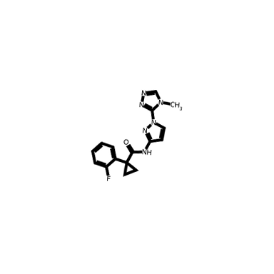 Cn1cnnc1-n1ccc(NC(=O)C2(c3ccccc3F)CC2)n1